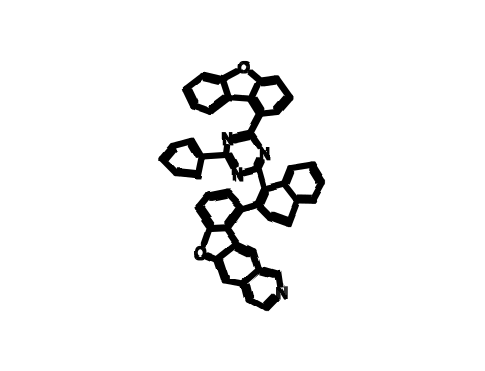 c1ccc(-c2nc(-c3c(-c4cccc5oc6cc7ccncc7cc6c45)ccc4ccccc34)nc(-c3cccc4oc5ccccc5c34)n2)cc1